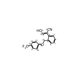 N#CC(=NO)c1ccccc1COc1ccc(C(F)(F)F)cc1